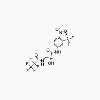 CC(O)(CNC(=O)C(F)(F)C(F)(F)F)C(=O)Nc1ccc([N+](=O)[O-])c(C(F)(F)F)c1